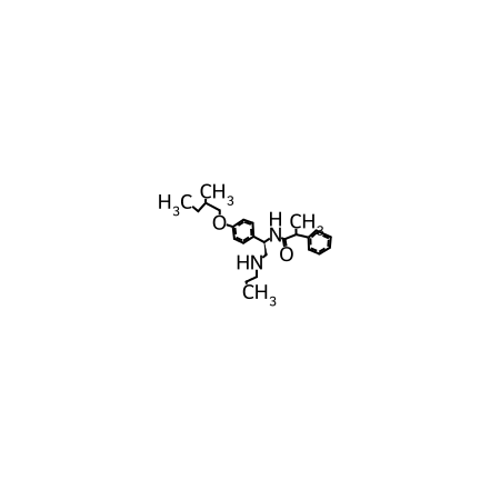 CCCNC[C@H](NC(=O)C(C)c1ccccc1)c1ccc(OCC(C)CC)cc1